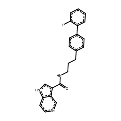 O=C(NCCCc1ccc(-c2ccccc2F)cc1)c1c[nH]c2ccncc12